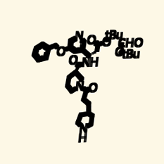 CC(C)(C)OC(=O)C[C@H](NC(=O)[C@@H]1CCCN(C(=O)CCC2CCNCC2)C1)c1cncc(OCc2ccccc2)c1.CC(C)(C)OC=O